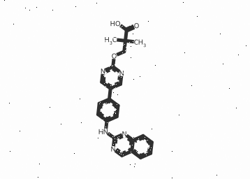 CC(C)(COc1ncc(-c2ccc(Nc3ncc4ccccc4n3)cc2)cn1)C(=O)O